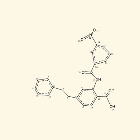 O=C(Nc1cc(CCc2ccccc2)ccc1C(=O)O)c1cccc([N+](=O)[O-])c1